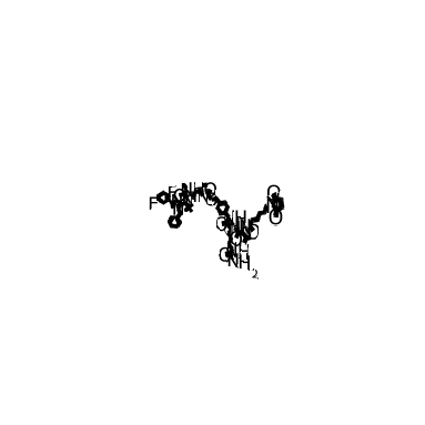 CC[C@@H](CCN(C(=O)NC)[C@@H](c1nc(-c2cc(F)ccc2F)cn1Cc1ccccc1)C(C)(C)C)NC(=O)OCc1ccc(NC(=O)[C@H](CCCNC(N)=O)NC(=O)[C@@H](NC(=O)CCCCCN2C(=O)C=CC2=O)C(C)C)cc1